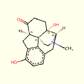 CN1CC[C@]23c4c5ccc(O)c4C[C@H]2C(=O)CC[C@@]3(O)[C@H]1C5